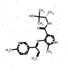 C=C/C(=N\c1c(C(=O)N[C@@H](C)C(C)(C)O)c[nH]c1C)c1ccc(C)nc1